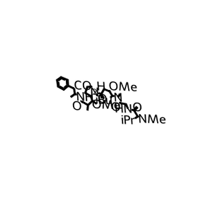 CCC(C)C(C(CC(=O)N1CCCC1C(OC)C(C)C(=O)NC(C)C(C(=O)O)c1ccccc1)OC)N(C)C(=O)CNC(=O)C(NC)C(C)C